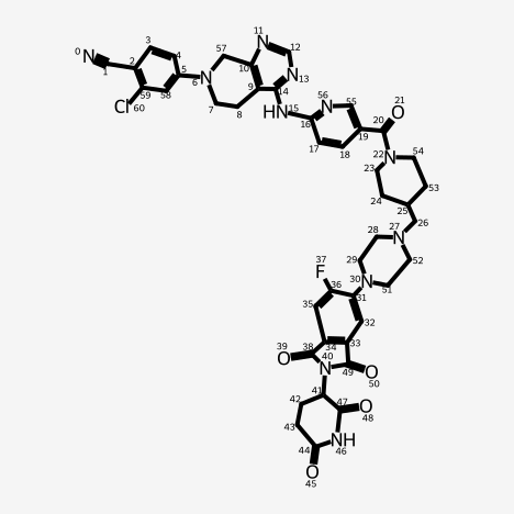 N#Cc1ccc(N2CCc3c(ncnc3Nc3ccc(C(=O)N4CCC(CN5CCN(c6cc7c(cc6F)C(=O)N(C6CCC(=O)NC6=O)C7=O)CC5)CC4)cn3)C2)cc1Cl